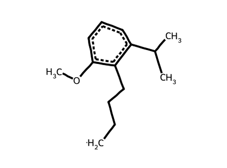 [CH2]CCCc1c(OC)cccc1C(C)C